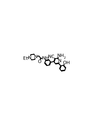 CCN1CCN(CC(=O)Nc2cccc(-c3cc(-c4ccccc4O)nc(N)c3C#N)c2)CC1